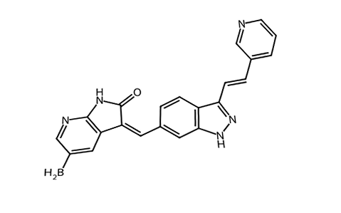 Bc1cnc2c(c1)C(=Cc1ccc3c(/C=C/c4cccnc4)n[nH]c3c1)C(=O)N2